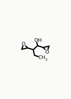 CCC(C1CO1)C(O)C1CO1